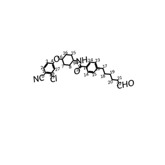 N#Cc1ccc(OC2CCC(NC(=O)c3ccc(CCCCCC=O)cc3)CC2)cc1Cl